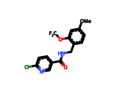 COc1ccc(CNC(=O)c2ccc(Cl)nc2)c(OC(F)(F)F)c1